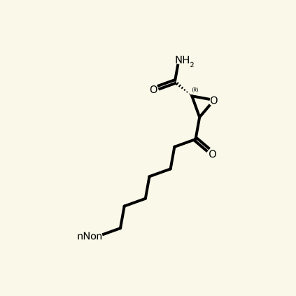 CCCCCCCCCCCCCCCC(=O)C1O[C@H]1C(N)=O